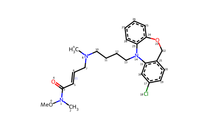 CON(C)C(=O)/C=C/CN(C)CCCCN1c2cc(Cl)ccc2COc2ccccc21